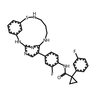 O=C(Nc1ccc(-c2cnc3nc2NCCCNSc2cccc(c2)N3)cc1F)C1(c2cccc(F)c2)CC1